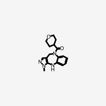 Cn1ncc2c1Nc1ccccc1N(C(=O)C1CCOCC1)C2